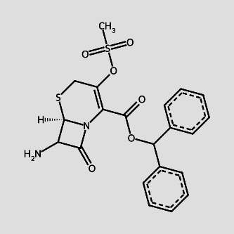 CS(=O)(=O)OC1=C(C(=O)OC(c2ccccc2)c2ccccc2)N2C(=O)C(N)[C@H]2SC1